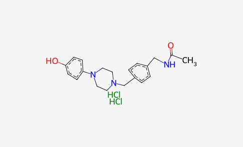 CC(=O)NCc1ccc(CN2CCN(c3ccc(O)cc3)CC2)cc1.Cl.Cl